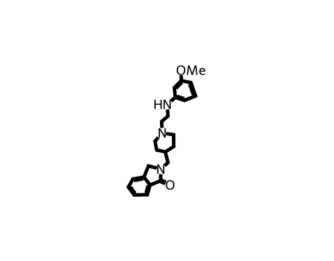 COc1cccc(NCCN2CCC(CN3Cc4ccccc4C3=O)CC2)c1